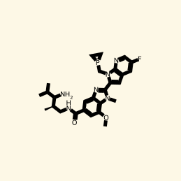 COc1cc(C(=O)NC[C@@H](C)C(N)C(C)C)cc2nc(-c3cc4cc(F)cnc4n3CP3CC3)n(C)c12